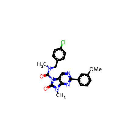 COc1cccc(-c2ncc3c(n2)n(C)c(=O)n3C(=O)N(C)Cc2ccc(Cl)cc2)c1